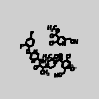 COC(=O)c1cc(CO)ncc1Cl.C[C@@H](C(=O)Nc1cnc(Oc2ccc(F)cc2F)cn1)N1CCN(C(=O)c2cc(CO)[n+]([O-])cc2Cl)C(C)(C)C1